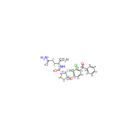 NC(=O)CCC(NC(=O)[C@H]1CC[C@H](Oc2ccc(C(=O)c3ccccc3)c(Cl)c2Cl)C1)C(=O)O